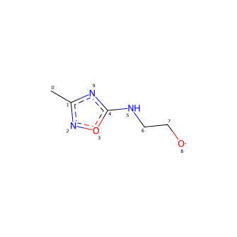 Cc1noc(NCC[O])n1